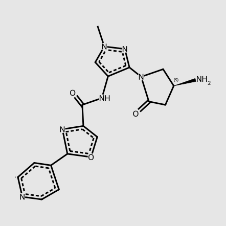 Cn1cc(NC(=O)c2coc(-c3c[c]ncc3)n2)c(N2C[C@@H](N)CC2=O)n1